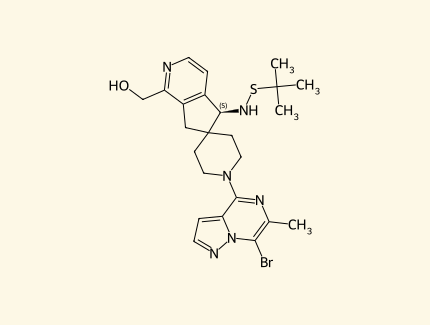 Cc1nc(N2CCC3(CC2)Cc2c(ccnc2CO)[C@H]3NSC(C)(C)C)c2ccnn2c1Br